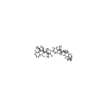 CCc1cccc(C)c1N1C(=O)CSC1=NC(=O)NC(C)Cc1ccc(NC(=O)Nc2ccc(C(F)(F)F)cc2)cc1